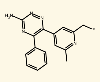 Cc1cc(-c2nnc(N)nc2-c2ccccc2)cc(CF)n1